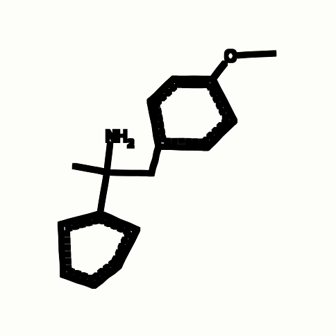 COc1ccc(CC(C)(N)c2ccccc2)cc1